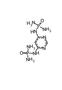 NP(N)(=O)Nc1cc(NP(N)(N)=O)ncn1